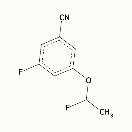 CC(F)Oc1cc(F)cc(C#N)c1